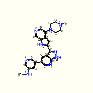 CC(C)Nc1cncc(-c2cnc3[nH]nc(-c4cc5c(N6CCN(C)CC6)cncc5[nH]4)c3c2)c1